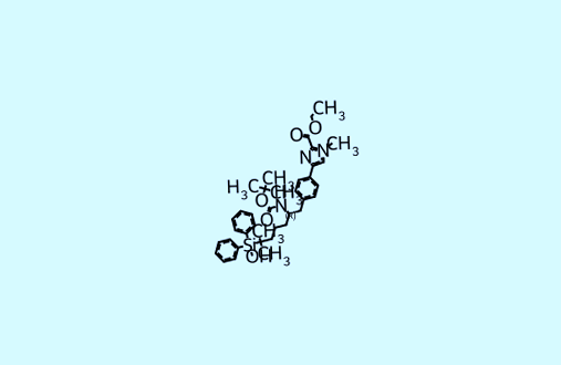 CCOC(=O)c1nc(-c2ccc(C[C@@H](CCCC(C)(C)[Si](O)(c3ccccc3)c3ccccc3)NC(=O)OC(C)(C)C)cc2)cn1C